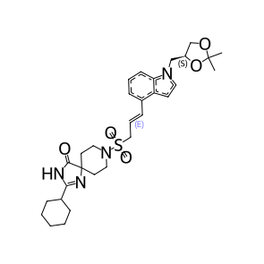 CC1(C)OC[C@H](Cn2ccc3c(/C=C/CS(=O)(=O)N4CCC5(CC4)N=C(C4CCCCC4)NC5=O)cccc32)O1